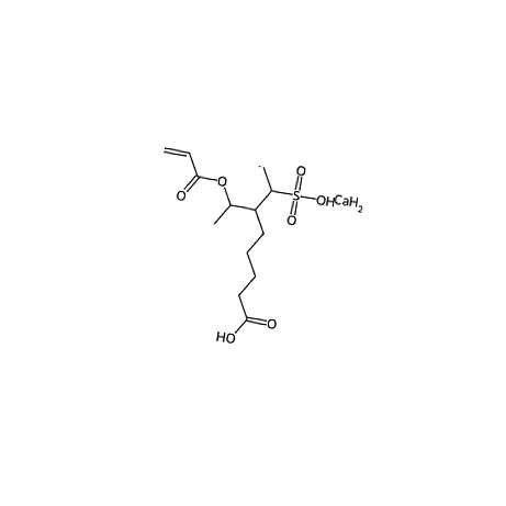 [CH2]C(C(CCCCC(=O)O)C(C)OC(=O)C=C)S(=O)(=O)O.[CaH2]